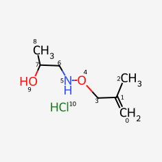 C=C(C)CONCC(C)O.Cl